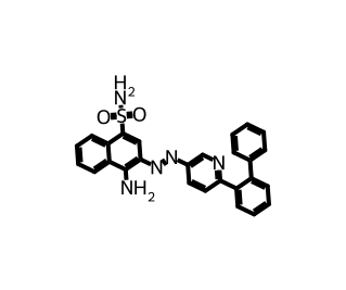 Nc1c(/N=N/c2ccc(-c3ccccc3-c3ccccc3)nc2)cc(S(N)(=O)=O)c2ccccc12